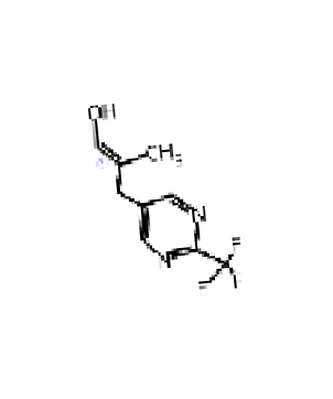 C/C(=C\O)Cc1cnc(C(F)(F)F)nc1